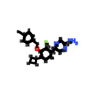 Cc1ccc(COc2c(C3CCC3)ccc(-c3cnc(N)cn3)c2F)cc1